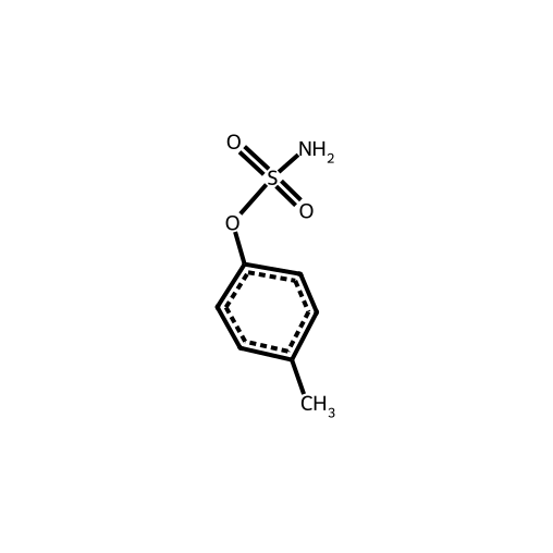 Cc1ccc(OS(N)(=O)=O)cc1